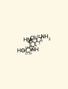 Nc1ccc(-c2cc3[nH]c4ccc(O)cc4c3c3c[nH]cc23)c(Cl)c1